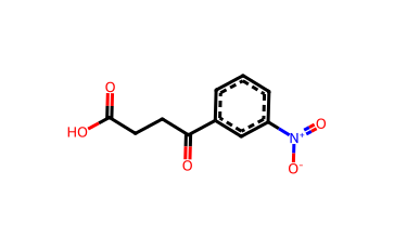 O=C(O)CCC(=O)c1cccc([N+](=O)[O-])c1